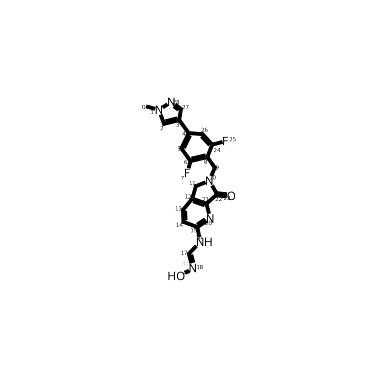 Cn1cc(-c2cc(F)c(CN3Cc4ccc(N/C=N/O)nc4C3=O)c(F)c2)cn1